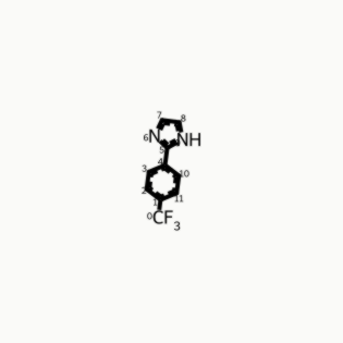 FC(F)(F)c1ccc(-c2ncc[nH]2)cc1